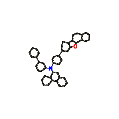 c1ccc(-c2cccc(N(c3ccc(-c4ccc5c(c4)oc4c6ccccc6ccc54)cc3)c3cc4ccccc4c4ccccc34)c2)cc1